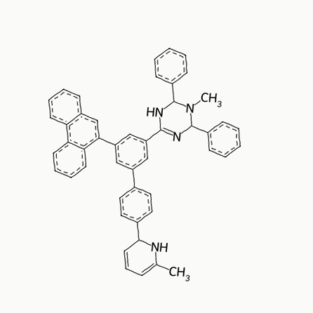 CC1=CC=CC(c2ccc(-c3cc(C4=NC(c5ccccc5)N(C)C(c5ccccc5)N4)cc(-c4cc5ccccc5c5ccccc45)c3)cc2)N1